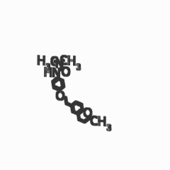 CC1CCc2cc(CCOc3ccc(NC(=O)N(C)C)cc3)ccc2O1